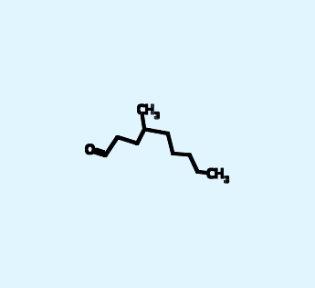 CCCCCC(C)CCC=O